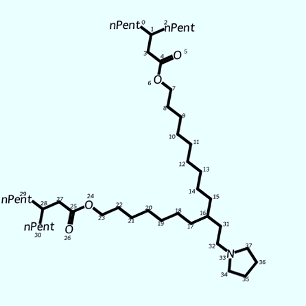 CCCCCC(CCCCC)CC(=O)OCCCCCCCCCC(CCCCCCCOC(=O)CC(CCCCC)CCCCC)CCN1CCCC1